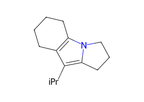 CC(C)c1c2c(n3c1CCC3)CCCC2